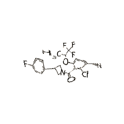 CC(Oc1ccc(C#N)c(Cl)c1C(=O)N1CC(c2ccc(F)cc2)C1)C(F)(F)F